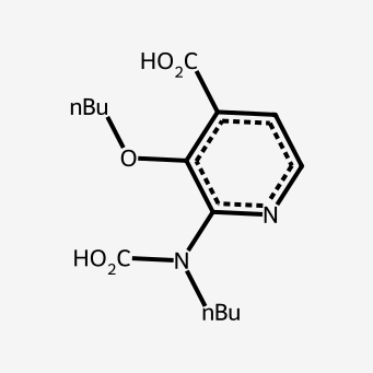 CCCCOc1c(C(=O)O)ccnc1N(CCCC)C(=O)O